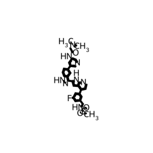 CN(C)CC(=O)Nc1cncc(-c2ccc3[nH]nc(-c4cc5c(-c6cc(F)cc(CNS(C)(=O)=O)c6)ccnc5[nH]4)c3c2)c1